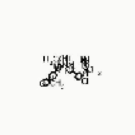 CC(C)c1nn(C2CCN(C3(C)CCOCC3)CC2)cc1Nc1ncc(-c2ccc(Cl)c(O[C@@H](C)Cn3cnnn3)c2)cn1